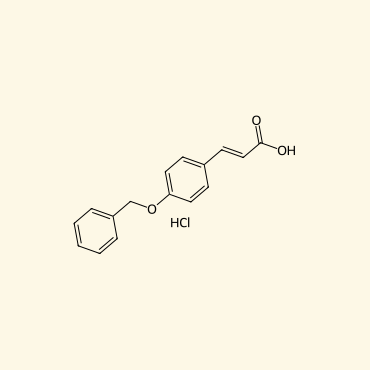 Cl.O=C(O)C=Cc1ccc(OCc2ccccc2)cc1